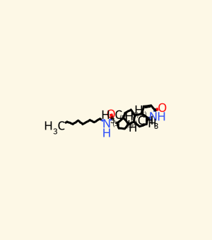 CCCCCCCCNC(=O)[C@H]1CC[C@H]2[C@@H]3CC[C@H]4NC(=O)C=C[C@]4(C)[C@H]3CC[C@]12C